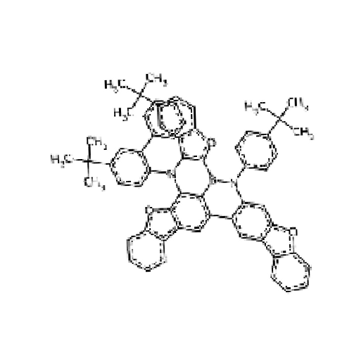 CC(C)(C)c1ccc(N2B3c4oc5ccc(C(C)(C)C)cc5c4N(c4ccc(C(C)(C)C)cc4-c4ccccc4)c4c3c(cc3c4oc4ccccc43)-c3cc4c(cc32)oc2ccccc24)cc1